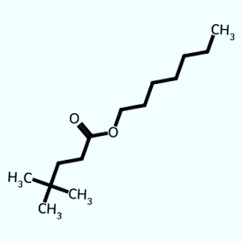 CCCCCCCOC(=O)CCC(C)(C)C